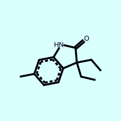 CCC1(CC)C(=O)Nc2cc(C)ccc21